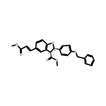 COC(=O)/C=C/c1ccc2c(c1)[C@H](C(=O)OC)[C@H](c1ccc(OCc3ccccc3)cc1)O2